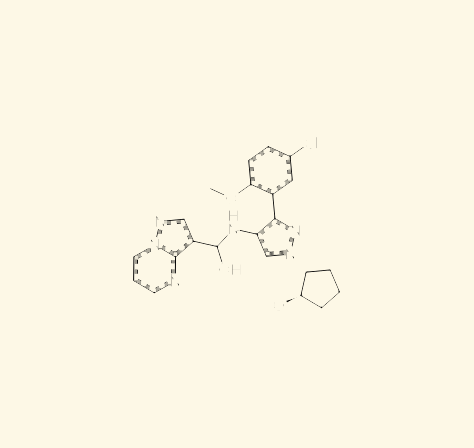 COc1ccc(Cl)cc1-c1nn([C@@H]2CCC[C@H]2O)cc1NC(O)c1cnn2cccnc12